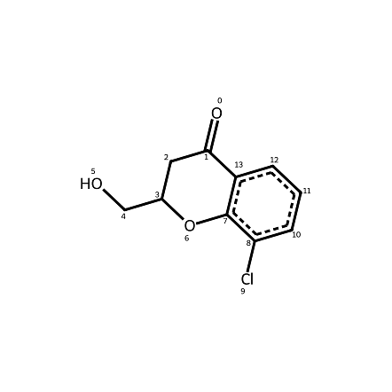 O=C1CC(CO)Oc2c(Cl)cccc21